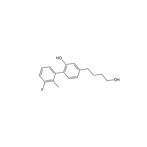 Cc1c(F)cccc1-c1[c]cc(CCCCO)cc1O